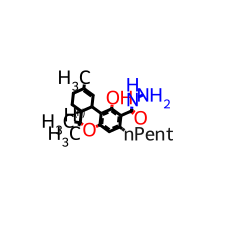 CCCCCc1cc2c(c(O)c1C(=O)NN)C1C=C(C)CC[C@H]1C(C)(C)O2